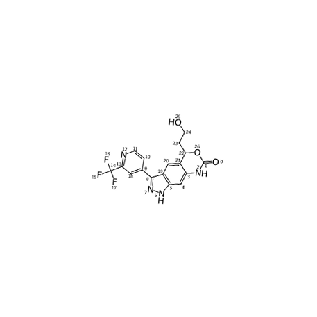 O=C1Nc2cc3[nH]nc(-c4ccnc(C(F)(F)F)c4)c3cc2C(CCO)O1